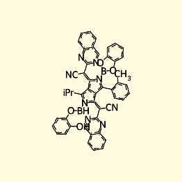 Cc1ccccc1-c1c2/c(=C(\C#N)c3ncc4ccccc4n3)n(BOc3ccccc3O)c(C(C)C)c2/c(=C(\C#N)c2ncc3ccccc3n2)n1B1Oc2ccccc2O1